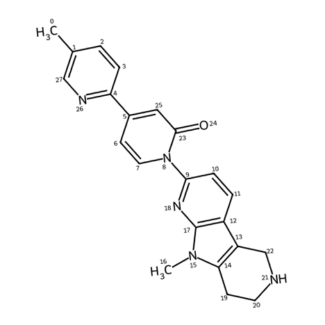 Cc1ccc(-c2ccn(-c3ccc4c5c(n(C)c4n3)CCNC5)c(=O)c2)nc1